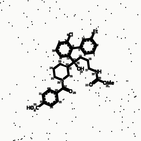 CCc1cccc(-c2c(Cl)cccc2[C@](O)(CCCNC(=O)OC)[C@@H]2CCCN(C(=O)c3ccc(C(=O)O)cc3)C2)c1